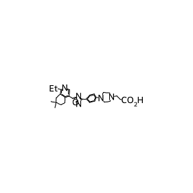 CCc1ncc(-c2nc(-c3ccc(N4CCN(CCC(=O)O)CC4)cc3)no2)c2c1CC(C)(C)CC2